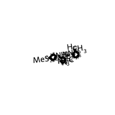 CSc1ccc(Nc2ncnc3sc(Nc4c(C)cccc4C)nc23)cc1